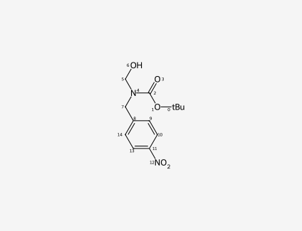 CC(C)(C)OC(=O)N(CO)Cc1ccc([N+](=O)[O-])cc1